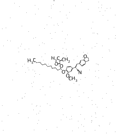 C=C(C)C(=O)OC(CCCCCCCCCC)Oc1ccc(/C(C#N)=C/c2ccc3c(c2)OCC3)cc1OC